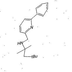 CC(C)(C)CC(C)(C)NCc1cccc(-c2ccccc2)n1